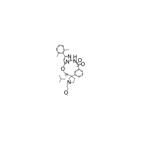 COCCN1CCC2(C1)c1cccc(c1)S(=O)(=O)Nc1nc(cc(-c3c(C)cccc3C)n1)OC[C@H]2CC(C)C